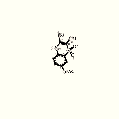 COc1ccc2c(c1)S(=O)(=O)C(C#N)=C(C(C)(C)C)N2